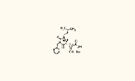 CC(C)CCNC(=O)[C@H](Cc1ccccc1)NC(=O)[C@@H]1[C@@H](C(=O)O)N1C.[Na]